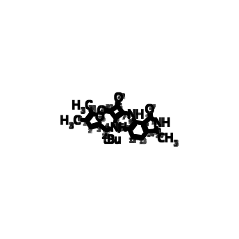 Cc1cc([C@H](Nc2c(Nc3c(F)ccc4c3C(=O)N[C@@H]4C)c(=O)c2=O)C(C)(C)C)oc1C